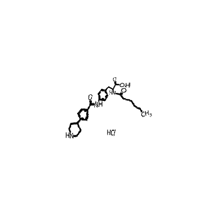 CCCCCC(=O)NC(Cc1ccc(NC(=O)c2ccc(C3CCNCC3)cc2)cc1)C(=O)O.Cl